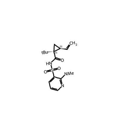 C=C[C@@H]1C[C@@]1(C(=O)NS(=O)(=O)c1cccnc1NC)C(C)(C)C